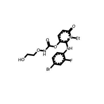 CCn1c(Nc2ccc(Br)cc2F)c(OC(=O)NOCCO)ccc1=O